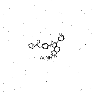 CC(=O)Nc1nc2c(s1)-c1c(c(-c3cccnc3)nn1-c1ccc(CC(=O)N3CCCC3)cc1)CC2